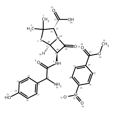 CC1(C)S[C@@H]2[C@H](NC(=O)C(N)c3ccc(O)cc3)C(=O)N2[C@H]1C(=O)O.COC(=O)c1ccc([N+](=O)[O-])cc1